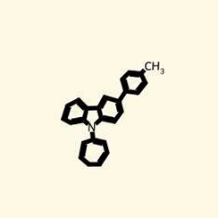 Cc1ccc(-c2ccc3c(c2)c2ccccc2n3C2=CC=CCC=C2)cc1